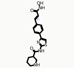 O=C(/C=C/c1ccc(-c2csc(NC(=O)C3CCCNC3)n2)cc1)NO